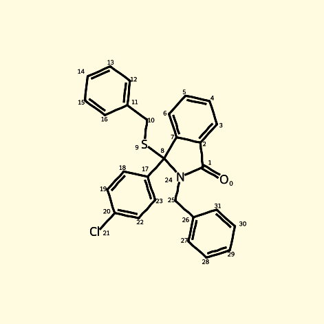 O=C1c2ccccc2C(SCc2ccccc2)(c2ccc(Cl)cc2)N1Cc1ccccc1